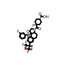 O=C(O)[C@H]1CC[C@](F)(C(=O)N2CCC3(S(=O)(=O)c4cccc(F)c4)c4ccc(C(F)(C(F)(F)F)C(F)(F)F)cc4CCC23)CC1